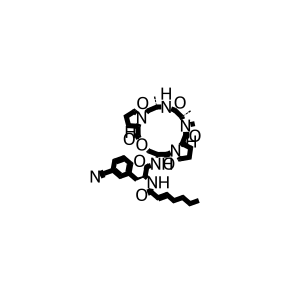 CCCC/C=C/C(=O)N[C@@H](Cc1cccc(C#N)c1)C(=O)N[C@H]1COC(=O)[C@@H]2CCCN2C(=O)[C@H](C)NC(=O)[C@H](C)N(C)C(=O)[C@@H]2CCCN2C1=O